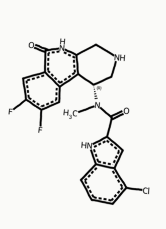 CN(C(=O)c1cc2c(Cl)cccc2[nH]1)[C@H]1CNCc2[nH]c(=O)c3cc(F)c(F)cc3c21